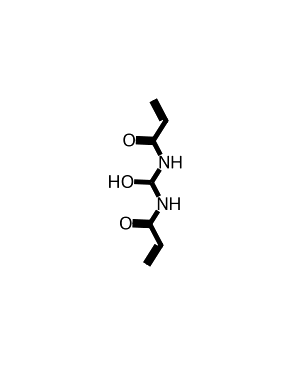 C=CC(=O)NC(O)NC(=O)C=C